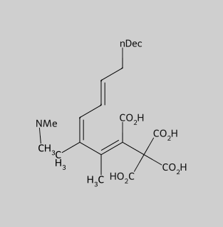 CCCCCCCCCCCC=CC=C(C)C(C)=C(C(=O)O)C(C(=O)O)(C(=O)O)C(=O)O.CNC